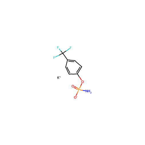 NP(=O)([O-])Oc1ccc(C(F)(F)F)cc1.[K+]